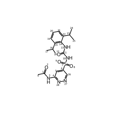 CC(=O)Nc1cc(S(=O)(=O)NC(=O)Nc2c(C(C)C)cccc2C(C)C)cnn1